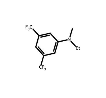 CCN(C)c1cc(C(F)(F)F)cc(C(F)(F)F)c1